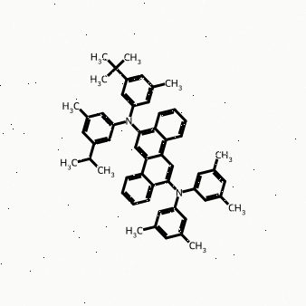 Cc1cc(C)cc(N(c2cc(C)cc(C)c2)c2cc3c4ccccc4c(N(c4cc(C)cc(C(C)C)c4)c4cc(C)cc(C(C)(C)C)c4)cc3c3ccccc23)c1